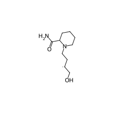 NC(=O)C1CCCCN1CC[CH]CO